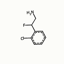 NCC(F)c1ccccc1Cl